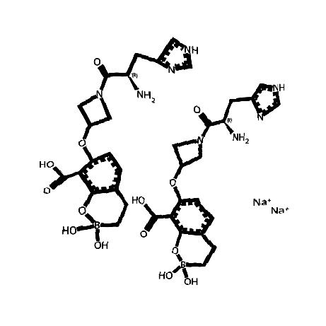 N[C@H](Cc1c[nH]cn1)C(=O)N1CC(Oc2ccc3c(c2C(=O)O)O[B-](O)(O)CC3)C1.N[C@H](Cc1c[nH]cn1)C(=O)N1CC(Oc2ccc3c(c2C(=O)O)O[B-](O)(O)CC3)C1.[Na+].[Na+]